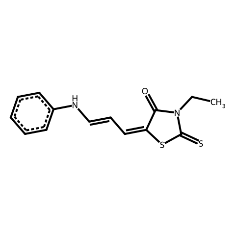 CCN1C(=O)C(=CC=CNc2ccccc2)SC1=S